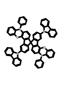 c1ccc(B2c3ccccc3Oc3c2ccc2c3-c3cc(-n4c5ccccc5c5ccccc54)ccc3C23c2ccc(-n4c5ccccc5c5ccccc54)cc2-c2c3ccc3c2Oc2ccccc2B3c2ccccc2)cc1